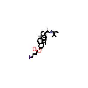 CC[C@H](/C=C/[C@@H](C)[C@H]1CC[C@H]2[C@@H]3CC=C4C[C@@H](OC(=O)CCCI)CC[C@]4(C)[C@H]3CC[C@]12C)C(C)C